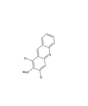 COc1c(Cl)cc2nc3ccccc3cc2c1Cl